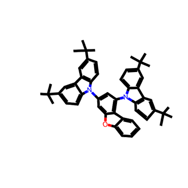 CC(C)(C)c1ccc2c(c1)c1cc(C(C)(C)C)ccc1n2-c1cc(-n2c3ccc(C(C)(C)C)cc3c3cc(C(C)(C)C)ccc32)c2c(c1)oc1ccccc12